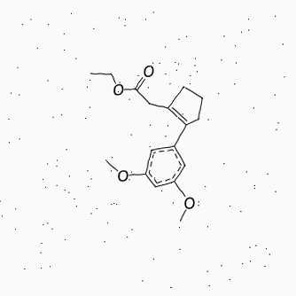 CCOC(=O)CC1=C(c2cc(OC)cc(OC)c2)CCC1